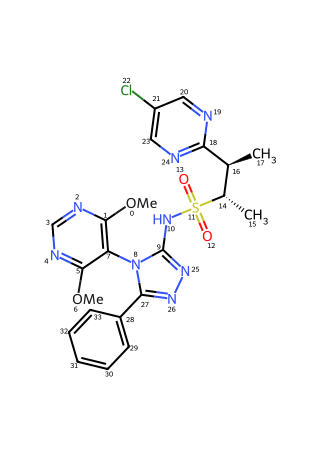 COc1ncnc(OC)c1-n1c(NS(=O)(=O)[C@@H](C)[C@H](C)c2ncc(Cl)cn2)nnc1-c1ccccc1